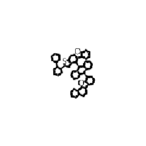 c1ccc(-c2ccccc2-c2cc3c(-c4c5ccccc5c(-c5cccc6c5oc5c7ccccc7ccc65)c5ccccc45)c4c(cc3s2)oc2ccccc24)cc1